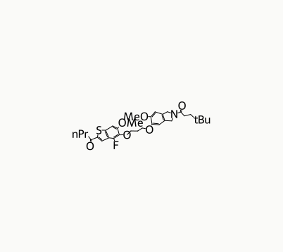 CCCC(=O)c1cc2c(F)c(OCCCOc3cc4c(cc3OC)CN(C(=O)CCC(C)(C)C)C4)c(OC)cc2s1